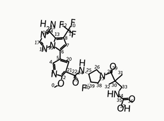 COc1ncc(-c2cc(C(F)(F)F)c3c(N)ncnn23)cc1C(=O)N[C@@H]1CN(C(=O)C(C)(C)CNC(=O)O)C[C@@H]1F